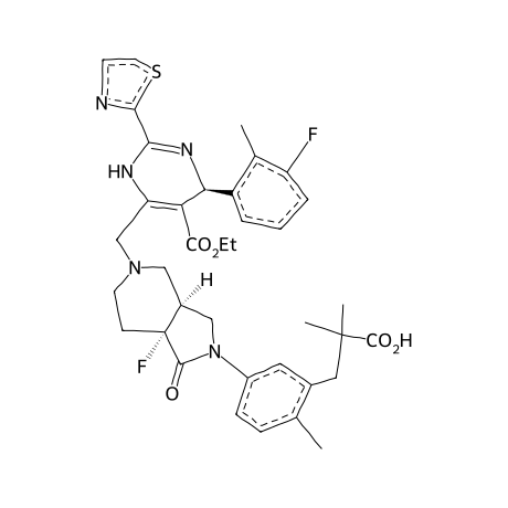 CCOC(=O)C1=C(CN2CC[C@]3(F)C(=O)N(c4ccc(C)c(CC(C)(C)C(=O)O)c4)C[C@@H]3C2)NC(c2nccs2)=N[C@H]1c1cccc(F)c1C